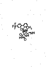 CCN/C(=C\C=N)C1(CNC(=O)c2ccccc2-c2ccc(C(F)(F)F)cc2)NC(=O)NC1=O